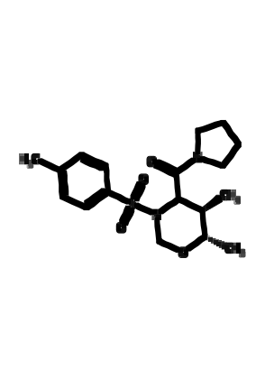 Cc1ccc(S(=O)(=O)N2CO[C@@H](C)[C@H](C)C2C(=O)N2CCCC2)cc1